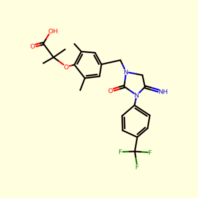 Cc1cc(CN2CC(=N)N(c3ccc(C(F)(F)F)cc3)C2=O)cc(C)c1OC(C)(C)C(=O)O